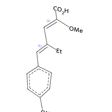 CCC(/C=C(\OC)C(=O)O)=C\c1ccc(OC)cc1